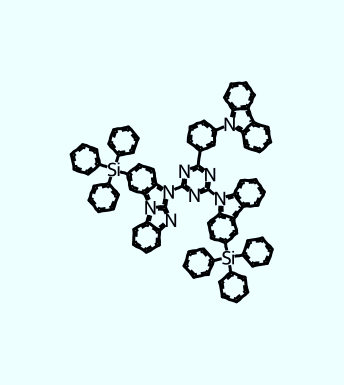 c1ccc([Si](c2ccccc2)(c2ccccc2)c2ccc3c(c2)c2ccccc2n3-c2nc(-c3cccc(-n4c5ccccc5c5ccccc54)c3)nc(-n3c4ccc([Si](c5ccccc5)(c5ccccc5)c5ccccc5)cc4n4c5ccccc5nc34)n2)cc1